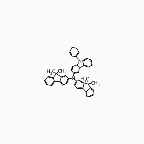 CC1(C)c2ccccc2-c2ccc(N(C3=CC4c5ccccc5N(C5=CCCC=C5)C4C=C3)c3ccc4c(c3)C(C)(C)c3ccccc3-4)cc21